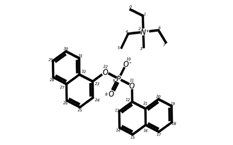 CC[N+](C)(CC)CC.O=P([O-])(Oc1cccc2ccccc12)Oc1cccc2ccccc12